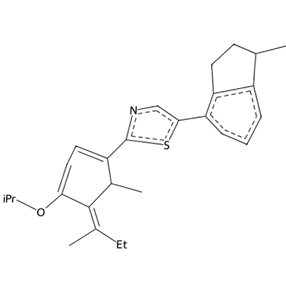 CC/C(C)=C1/C(OC(C)C)=CC=C(c2ncc(-c3cccc4c3CCC4C)s2)C1C